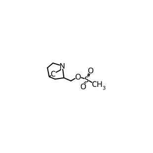 CS(=O)(=O)OCC1CC2CCN1CC2